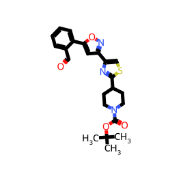 CC(C)(C)OC(=O)N1CCC(c2nc(-c3cc(-c4ccccc4C=O)on3)cs2)CC1